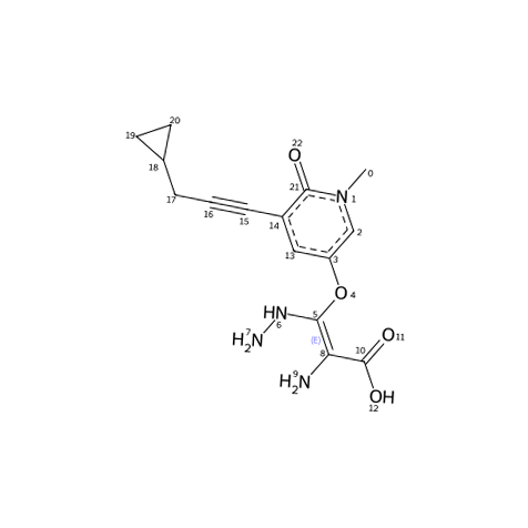 Cn1cc(O/C(NN)=C(/N)C(=O)O)cc(C#CCC2CC2)c1=O